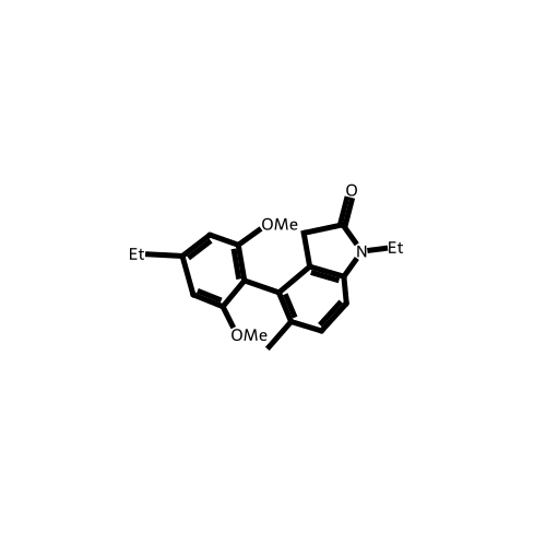 CCc1cc(OC)c(-c2c(C)ccc3c2CC(=O)N3CC)c(OC)c1